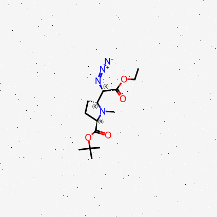 CCOC(=O)[C@H](N=[N+]=[N-])[C@H]1CC[C@H](C(=O)OC(C)(C)C)N1C